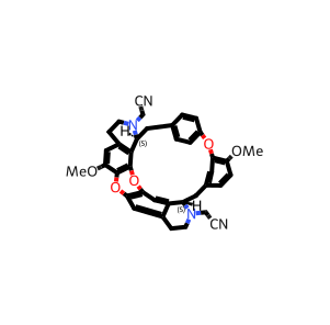 COc1ccc2cc1Oc1ccc(cc1)C[C@H]1c3c(cc(OC)c4c3Oc3cc5c(cc3O4)CCN(CC#N)[C@H]5C2)CCN1CC#N